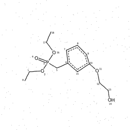 CCOP(=O)(Cc1cccc(OCCO)c1)OCC